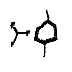 Cc1ccc(I)cc1.FC(F)F